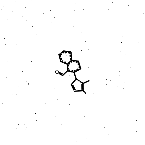 CC1=C(C)C(c2ccc3ccccc3c2C=O)C=C1